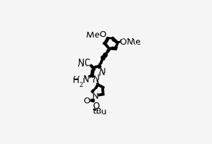 COc1cc(C#Cc2nn(C3CCN(C(=O)OC(C)(C)C)C3)c(N)c2C#N)cc(OC)c1